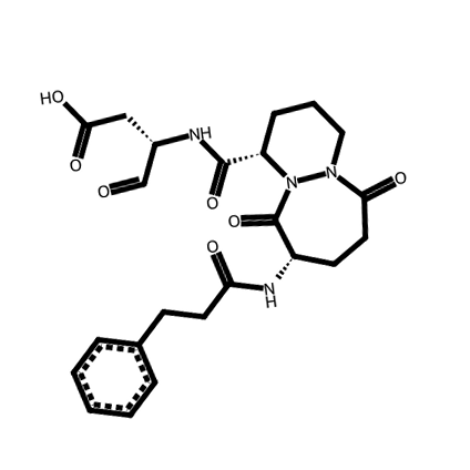 O=C[C@H](CC(=O)O)NC(=O)[C@@H]1CCCN2C(=O)CC[C@H](NC(=O)CCc3ccccc3)C(=O)N12